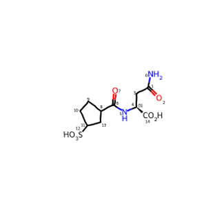 NC(=O)C[C@H](NC(=O)C1CCC(S(=O)(=O)O)C1)C(=O)O